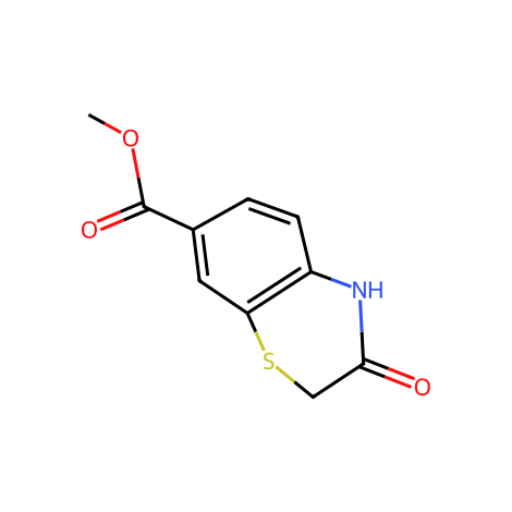 COC(=O)c1ccc2c(c1)SCC(=O)N2